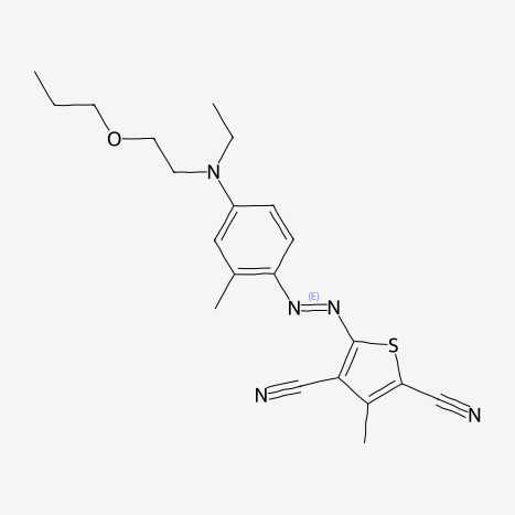 CCCOCCN(CC)c1ccc(/N=N/c2sc(C#N)c(C)c2C#N)c(C)c1